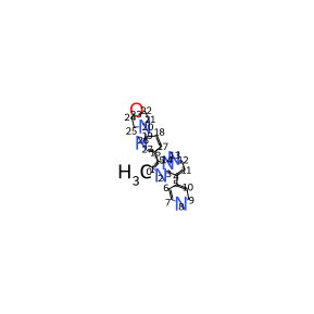 Cc1nc2c(-c3ccncc3)ccnn2c1-c1ccc(N2CCOCC2)nc1